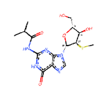 CS[C@@H]1[C@H](O)[C@@H](CO)O[C@H]1n1cnc2c(=O)[nH]c(NC(=O)C(C)C)nc21